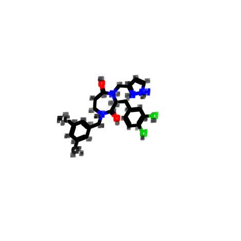 O=C1[C@H](Cc2ccc(Cl)c(Cl)c2)N(Cc2cc[nH]n2)C(=O)CCN1Cc1cc(C(F)(F)F)cc(C(F)(F)F)c1